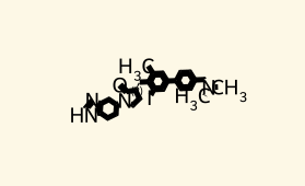 Cc1cc(-c2ccc(CN(C)C)cc2)cc(I)c1C[C@@H]1CCN(C2CCc3[nH]cnc3C2)C1=O